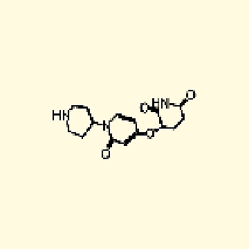 O=C1CC[C@@H](Oc2ccn(C3CCNCC3)c(=O)c2)C(=O)N1